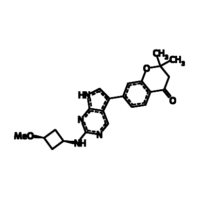 CO[C@H]1C[C@@H](Nc2ncc3c(-c4ccc5c(c4)OC(C)(C)CC5=O)c[nH]c3n2)C1